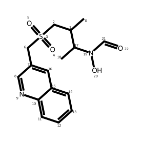 CC(CS(=O)(=O)Cc1cnc2ccccc2c1)C(C)N(O)C=O